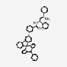 C=C(NC(/C=C(\C)c1ccccc1)c1ccccc1)c1cccc(-c2ccc3c(c2)-c2ccccc2C32c3ccccc3N(c3ccccc3)c3ccccc32)c1